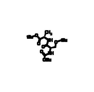 CC(C)COC(=O)N[C@H](COC(C)(C)C)C(=O)N[C@@H](C)C(=O)OC(C)(C)C